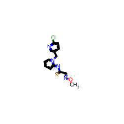 CO/N=C/C(=S)/N=c1\ccccn1Cc1ccc(Cl)nc1